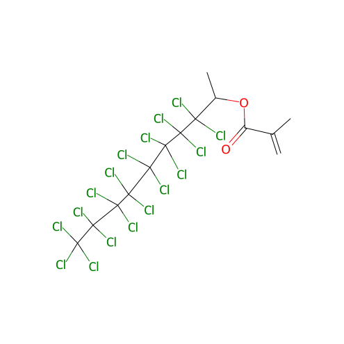 C=C(C)C(=O)OC(C)C(Cl)(Cl)C(Cl)(Cl)C(Cl)(Cl)C(Cl)(Cl)C(Cl)(Cl)C(Cl)(Cl)C(Cl)(Cl)C(Cl)(Cl)Cl